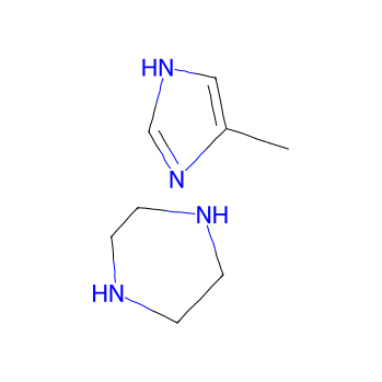 C1CNCCN1.Cc1c[nH]cn1